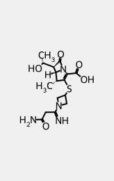 C[C@@H](O)[C@H]1C(=O)N2C(C(=O)O)=C(SC3CN(C(=N)CC(N)=O)C3)[C@H](C)[C@H]12